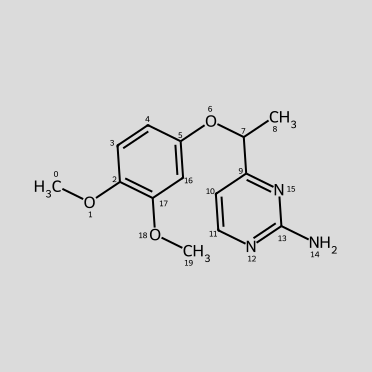 COc1ccc(OC(C)c2ccnc(N)n2)cc1OC